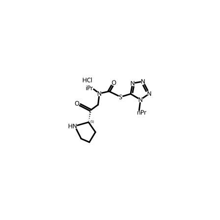 CCCn1nnnc1SC(=O)N(CC(=O)[C@@H]1CCCN1)C(C)C.Cl